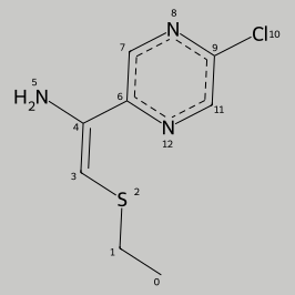 CCS/C=C(/N)c1cnc(Cl)cn1